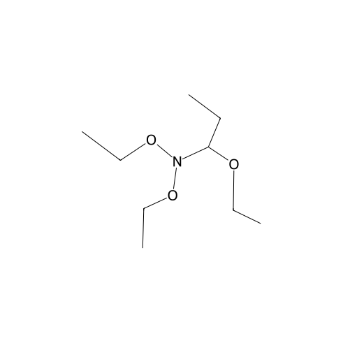 CCOC(CC)N(OCC)OCC